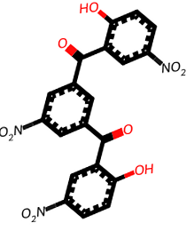 O=C(c1cc(C(=O)c2cc([N+](=O)[O-])ccc2O)cc([N+](=O)[O-])c1)c1cc([N+](=O)[O-])ccc1O